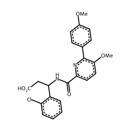 COc1ccc(-c2nc(C(=O)NC(CC(=O)O)c3ccccc3Cl)ccc2OC)cc1